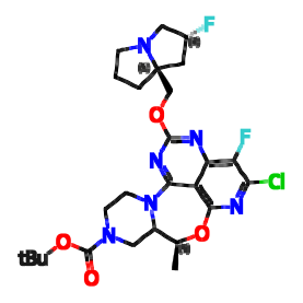 C[C@@H]1Oc2nc(Cl)c(F)c3nc(OC[C@@]45CCCN4C[C@H](F)C5)nc(c23)N2CCN(C(=O)OC(C)(C)C)CC12